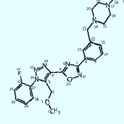 COCc1c(-c2nc(-c3cccc(CN4CCN(C)CC4)c3)no2)nnn1-c1ccccc1F